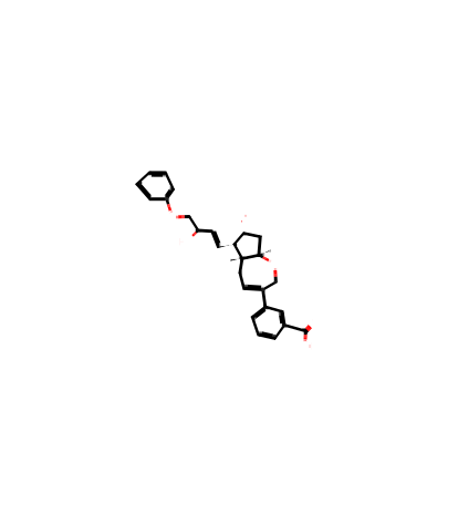 O=C(O)c1cccc(C2=CC[C@@H]3[C@@H](/C=C/C(O)COc4ccccc4)[C@H](O)C[C@@H]3OC2)c1